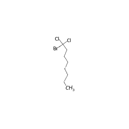 CCCCCCCC(Cl)(Cl)Br